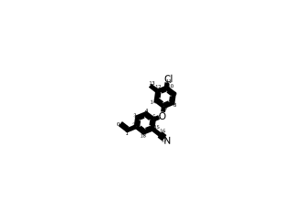 C=Cc1ccc(Oc2ccc(Cl)c(C)c2)c(C#N)c1